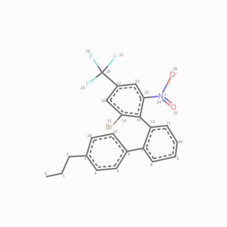 CCCc1ccc(-c2ccccc2-c2c(Br)cc(C(F)(F)F)cc2[N+](=O)[O-])cc1